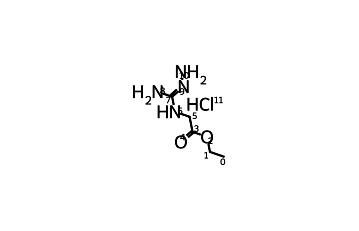 CCOC(=O)CNC(N)=NN.Cl